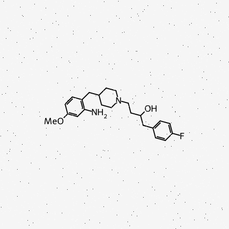 COc1ccc(CC2CCN(CCC(O)Cc3ccc(F)cc3)CC2)c(N)c1